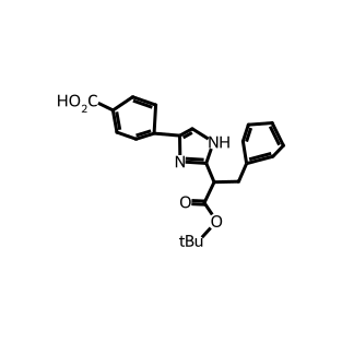 CC(C)(C)OC(=O)C(Cc1ccccc1)c1nc(-c2ccc(C(=O)O)cc2)c[nH]1